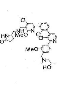 COc1cc(-c2nccc(-c3cccc(-c4cc(Cl)c(CNC[C@H]5CCC(=O)N5)c(OC)n4)c3Cl)c2Cl)ccc1CN(C)C[C@H](C)O